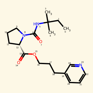 CCC(C)(C)NC(=O)N1CCC[C@H]1C(=O)OCCCc1cccnc1